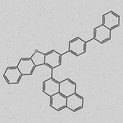 c1ccc2cc(-c3ccc(-c4cc(-c5ccc6ccc7cccc8ccc5c6c78)c5c(c4)oc4cc6ccccc6cc45)cc3)ccc2c1